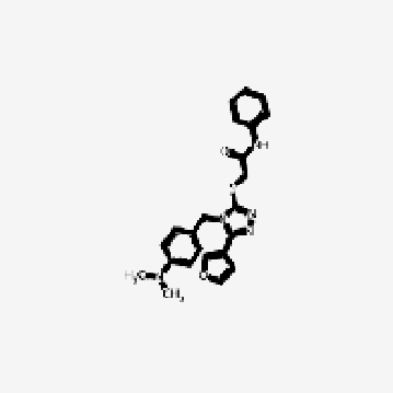 CN(C)c1ccc(Cn2c(SCC(=O)Nc3ccccc3)nnc2-c2ccoc2)cc1